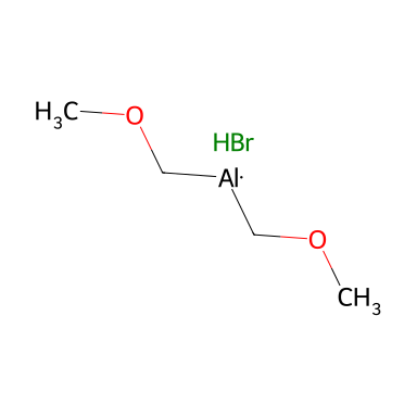 Br.CO[CH2][Al][CH2]OC